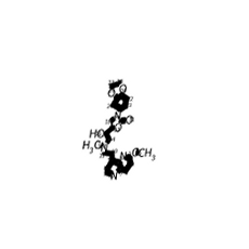 COc1ccc2nccc(CCN(C)C[C@@H](O)[C@H]3CN(c4ccc5c(c4)OCCO5)C(=O)O3)c2n1